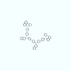 c1ccc(N(c2ccc(-c3ccc(N(c4ccc(-c5ccc(N(c6ccc(-c7ccc(N(c8ccccc8)c8cccc9ccccc89)cc7)cc6)c6ccc7ccccc7c6)cc5)cc4)c4ccc5ccccc5c4)cc3)cc2)c2cccc3ccccc23)cc1